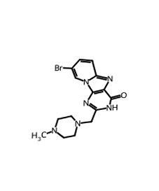 CN1CCN(Cc2nc3c(nc4ccc(Br)cn43)c(=O)[nH]2)CC1